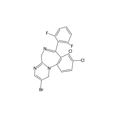 Fc1cccc(F)c1C1=NCC2=NC=C(Br)CN2c2ccc(Cl)c(Cl)c21